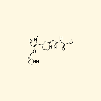 Cn1ncc(OC[C@@H]2CCN2)c1-c1ccn2nc(NC(=O)C3CC3)cc2c1